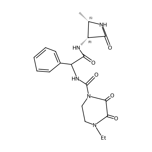 CCN1CCN(C(=O)NC(C(=O)N[C@H]2C(=O)N[C@H]2C)c2ccccc2)C(=O)C1=O